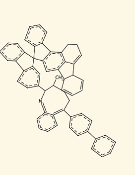 CC1CC/C(c2ccc(-c3ccccc3)cc2)=c2/cccc/c2=N/C1c1ccc2c(c1)C1(c3ccccc3-2)c2ccccc2-c2c1cc1c3c2CCC=C3C2C=CC=CC12